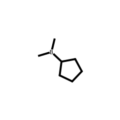 CB(C)C1CCCC1